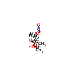 CCO[C@@H](C1C[C@@H](C)[C@H]2C(O1)[C@H](O)[C@@]1(C)C3CC[C@H]4C(C)(C)[C@@H](OC(=O)N5CCN(C6COC6)CC5)CC[C@@]45C[C@@]35CC[C@]21C)C(C)(C)O